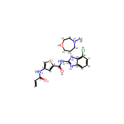 C=CC(=O)Nc1csc(C(=O)Nc2nc3cccc(Cl)c3n2[C@@H]2COCCN(C(C)=O)C2)c1